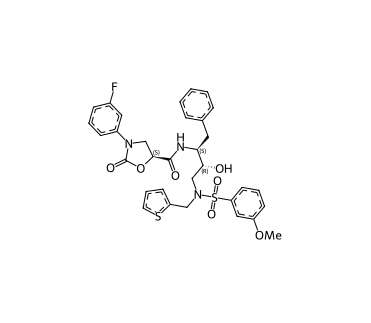 COc1cccc(S(=O)(=O)N(Cc2cccs2)C[C@@H](O)[C@H](Cc2ccccc2)NC(=O)[C@@H]2CN(c3cccc(F)c3)C(=O)O2)c1